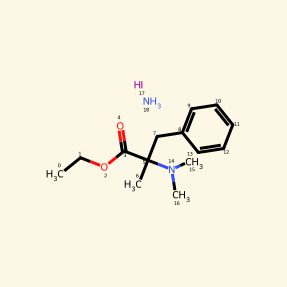 CCOC(=O)C(C)(Cc1ccccc1)N(C)C.I.N